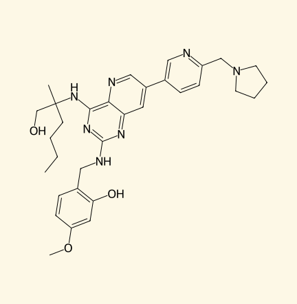 CCCCC(C)(CO)Nc1nc(NCc2ccc(OC)cc2O)nc2cc(-c3ccc(CN4CCCC4)nc3)cnc12